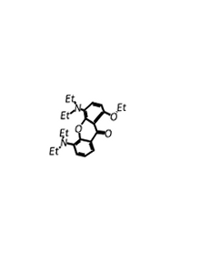 CCOc1ccc(N(CC)CC)c2oc3c(N(CC)CC)cccc3c(=O)c12